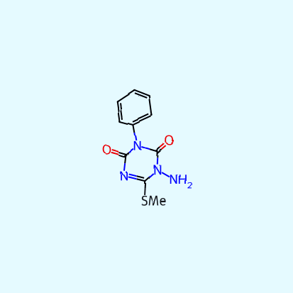 CSc1nc(=O)n(-c2ccccc2)c(=O)n1N